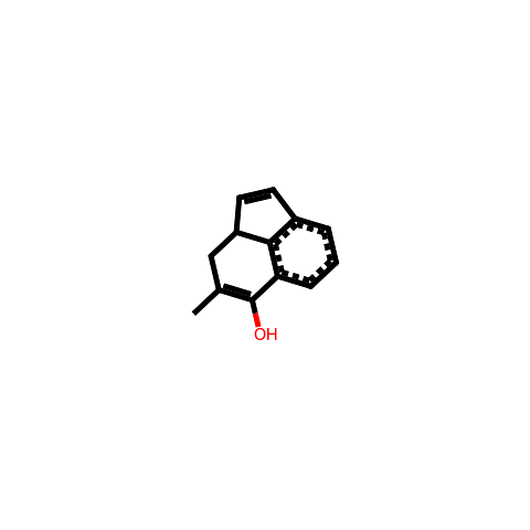 CC1=C(O)c2cccc3c2C(C=C3)C1